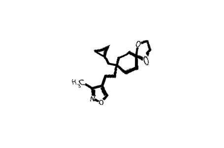 Cc1nocc1CCC1(CC2CC2)CCC2(CC1)OCCO2